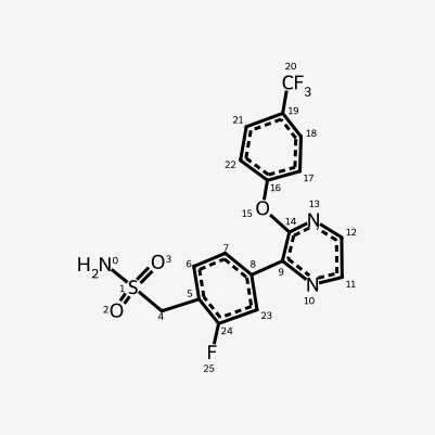 NS(=O)(=O)Cc1ccc(-c2nccnc2Oc2ccc(C(F)(F)F)cc2)cc1F